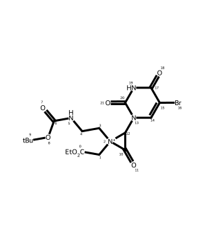 CCOC(=O)C[N+]1(CCNC(=O)OC(C)(C)C)C(=O)C1n1cc(Br)c(=O)[nH]c1=O